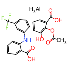 CC(=O)Oc1c(O)cccc1C(=O)O.O=C(O)c1ccccc1Nc1cccc(C(F)(F)F)c1.[AlH3]